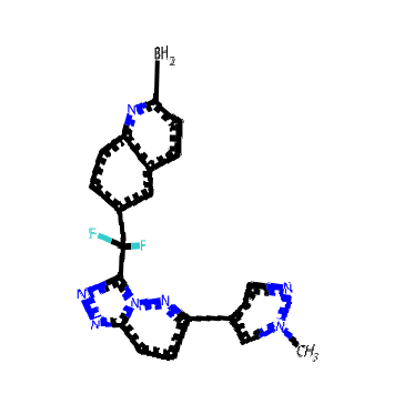 Bc1ccc2cc(C(F)(F)c3nnc4ccc(-c5cnn(C)c5)nn34)ccc2n1